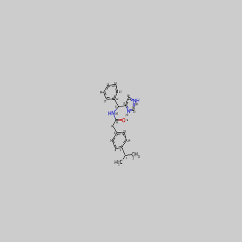 CC(C)c1ccc(CC(=O)NC(c2ccccc2)c2c[nH]cn2)cc1